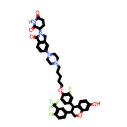 O=C1CCC(N2Cc3cc(N4CCN(CCCCCOc5ccc(C6c7ccc(O)cc7OCC6c6ccc(F)c(C(F)(F)F)c6)cc5F)CC4)ccc3C2=O)C(=O)N1